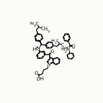 CC(C)Cc1ccc(C(Nc2cccc(C(=O)c3cn(CCCC(=O)O)c4ccccc34)c2)c2ccc(CC(C)C)cc2)cc1.O=C(Nc1ccccc1)c1ccccc1